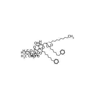 CCCCCCCCCCC[C@@H](CC(=O)N[C@H]1C(O)O[C@H](CO[Si](C)(C)C(C)(C)C)[C@@H](OS(=O)(=O)O)[C@@H]1OC(=O)CCCCCCc1ccccc1)OC(=O)CCCCCCc1ccccc1